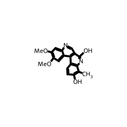 COc1cc2ncc3c(O)nc4c(C)c(O)ccc4c3c2cc1OC